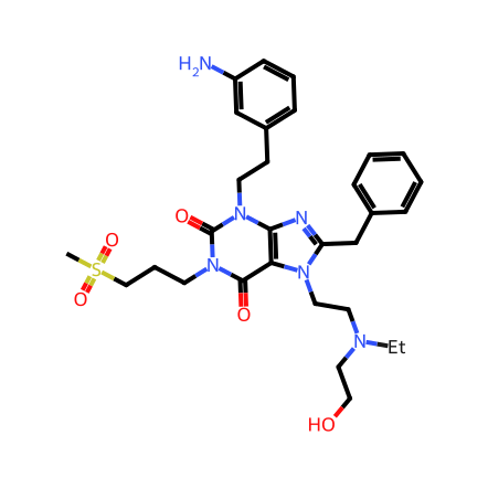 CCN(CCO)CCn1c(Cc2ccccc2)nc2c1c(=O)n(CCCS(C)(=O)=O)c(=O)n2CCc1cccc(N)c1